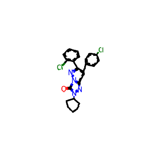 O=c1n(C2CCCCC2)nc2cc(-c3ccc(Cl)cc3)c(-c3ccccc3Cl)nn12